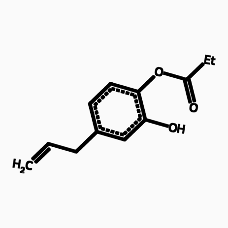 C=CCc1ccc(OC(=O)CC)c(O)c1